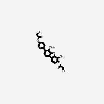 C=CC(=O)Oc1ccc(-c2ccc3c(oc4c(C)c(OC(=O)C=C)ccc43)c2OC)cc1